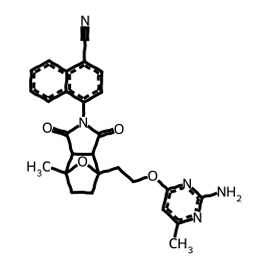 Cc1cc(OCCC23CCC(C)(O2)C2C(=O)N(c4ccc(C#N)c5ccccc45)C(=O)C23)nc(N)n1